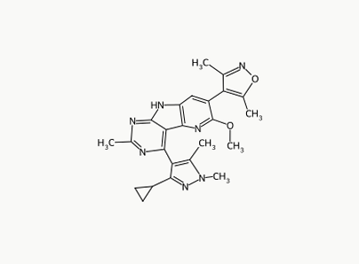 COc1nc2c(cc1-c1c(C)noc1C)[nH]c1nc(C)nc(-c3c(C4CC4)nn(C)c3C)c12